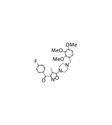 COc1ccc(CN2CCN(c3onc(C(=O)c4ccc(F)cc4)c3C)CC2)c(OC)c1OC